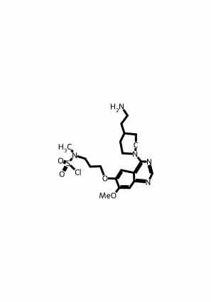 COc1cc2ncnc(N3CCC(CCN)CC3)c2cc1OCCCN(C)S(=O)(=O)Cl